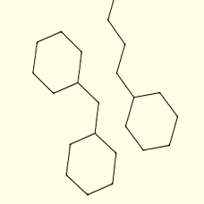 C1CCC(CC2CCCCC2)CC1.CCCCC1CCCCC1